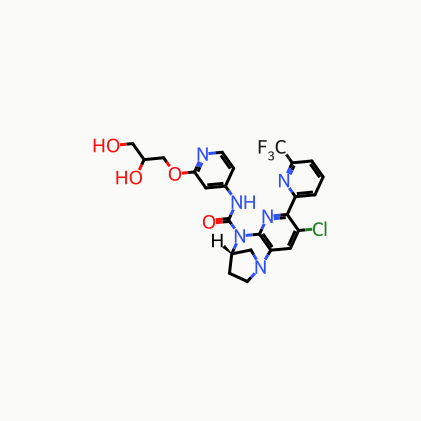 O=C(Nc1ccnc(OCC(O)CO)c1)N1c2nc(-c3cccc(C(F)(F)F)n3)c(Cl)cc2N2CC[C@H]1C2